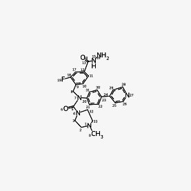 CN1CCN(C(=O)N(Cc2ccc(C(=O)NN)cc2F)c2ccc(-c3ccncc3)cc2)CC1